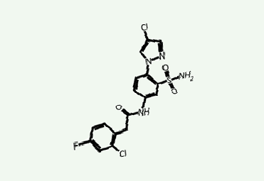 NS(=O)(=O)c1cc(NC(=O)Cc2ccc(F)cc2Cl)ccc1-n1cc(Cl)cn1